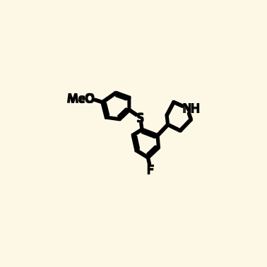 COc1ccc(Sc2ccc(F)cc2C2CCNCC2)cc1